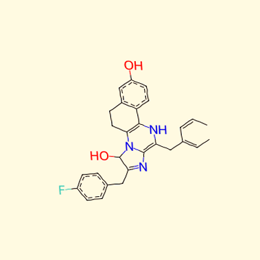 C/C=C\C(=C/C)CC1=C2N=C(Cc3ccc(F)cc3)C(O)N2C2=C(N1)c1ccc(O)cc1CC2